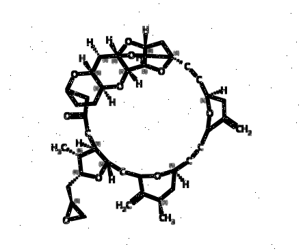 C=C1C[C@@H]2CC[C@@]34C[C@H]5O[C@H]6[C@@H](O3)[C@H]3OC(CC[C@@H]3O[C@H]6[C@H]5O4)CC(=O)C[C@@H]3[C@@H](C)[C@@H](C[C@H]4CO4)O[C@H]3CC3O[C@@H](CCC1O2)C[C@@H](C)C3=C